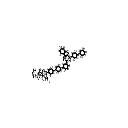 CC1(C)OB(c2ccc(-c3ccc(-c4cccc(-c5nc(-c6ccc(-c7ccccc7)cc6)c6sc7ccccc7c6n5)c4)cc3)cc2)OC1(C)C